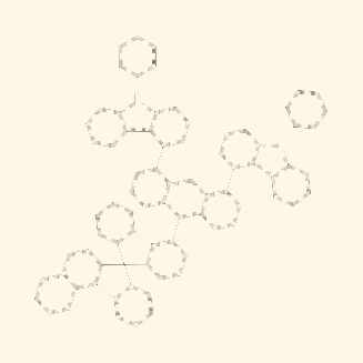 c1ccc(-p2c3ccccc3c3c(-c4cccc5c(-c6cccc7c6-c6ccccc6C76c7ccccc7-c7c6ccc6ccccc76)c6cccc(-c7cccc8c7c7ccccc7p8-c7ccccc7)c6cc45)cccc32)cc1